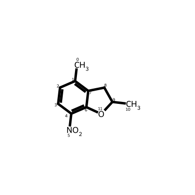 Cc1ccc([N+](=O)[O-])c2c1CC(C)O2